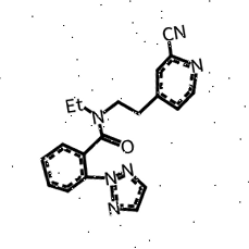 CCN(CCc1ccnc(C#N)c1)C(=O)c1ccccc1-n1nccn1